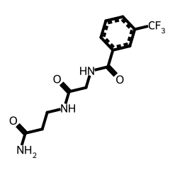 NC(=O)CCNC(=O)CNC(=O)c1cccc(C(F)(F)F)c1